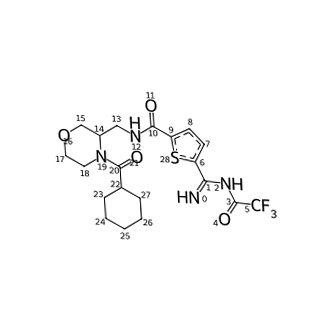 N=C(NC(=O)C(F)(F)F)c1ccc(C(=O)NCC2COCCN2C(=O)C2CCCCC2)s1